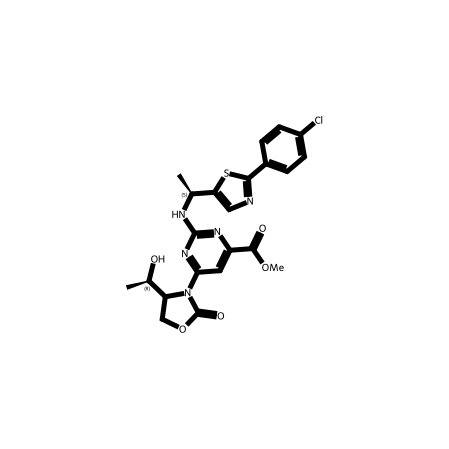 COC(=O)c1cc(N2C(=O)OCC2[C@@H](C)O)nc(N[C@@H](C)c2cnc(-c3ccc(Cl)cc3)s2)n1